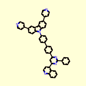 c1ccc(-c2nc(-c3ccc(-c4ccc(-n5c6ccc(-c7ccncc7)cc6c6cc(-c7ccncc7)ccc65)cc4)cc3)cc(-c3ccnc4ccccc34)n2)cc1